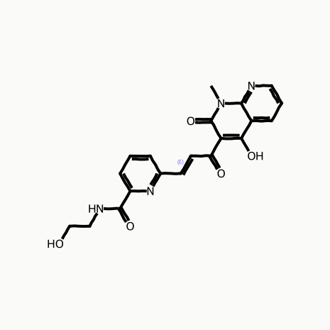 Cn1c(=O)c(C(=O)/C=C/c2cccc(C(=O)NCCO)n2)c(O)c2cccnc21